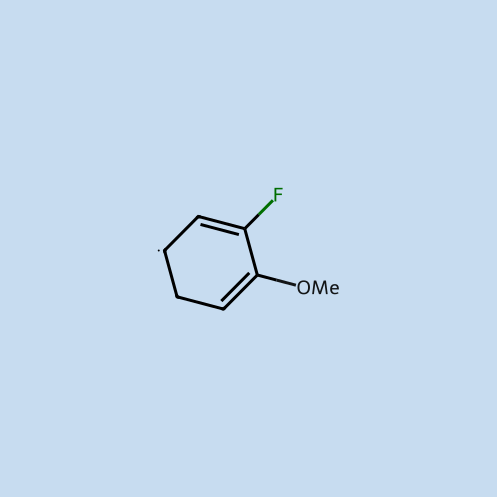 COC1=CC[CH]C=C1F